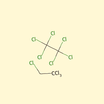 ClC(Cl)(Cl)C(Cl)(Cl)Cl.ClCC(Cl)(Cl)Cl